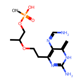 C=C1NC(N)=NC(CCOC(C)COP(=O)(O)N=O)=C1/N=C\N